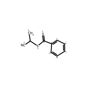 CC(C#N)SC(=S)c1ccccc1